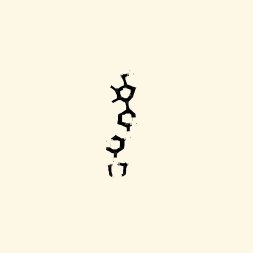 Cc1c(C(N)=O)ccc(-c2ccc(Nc3cncc(N4CCOCC4=O)c3)nc2)c1C